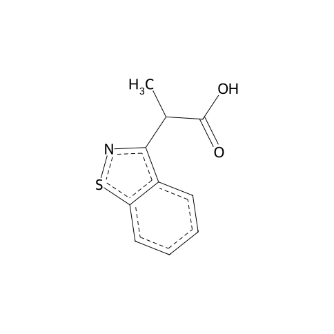 CC(C(=O)O)c1nsc2ccccc12